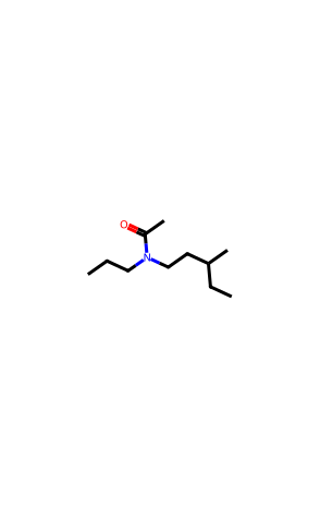 CCCN(CCC(C)CC)C(C)=O